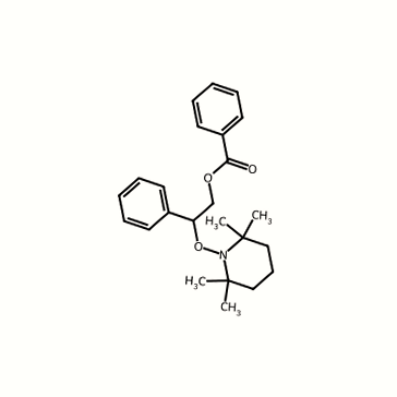 CC1(C)CCCC(C)(C)N1OC(COC(=O)c1ccccc1)c1ccccc1